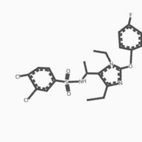 CCc1nc(Oc2ccc(F)cc2)n(CC)c1C(C)NS(=O)(=O)c1ccc(Cl)c(Cl)c1